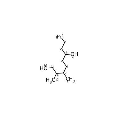 CC(C)CCC(O)CCC(C)C(C)CO